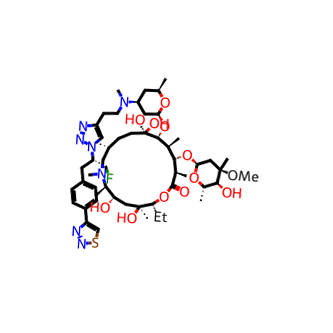 CC[C@H]1OC(=O)[C@H](C)[C@@H](O[C@H]2C[C@@](C)(OC)[C@@H](O)[C@H](C)O2)[C@H](C)[C@@H](O[C@@H]2O[C@H](C)C[C@H](N(C)CCc3cn([C@H](CF)Cc4ccc(-c5csnn5)cc4)nn3)[C@H]2O)[C@](C)(O)CC[C@@H](C)CN(C)[C@H](C)[C@@H](O)C[C@]1(C)O